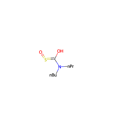 CCCCN(CCC)C(O)=S=O